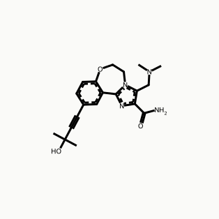 CN(C)Cc1c(C(N)=O)nc2n1CCOc1ccc(C#CC(C)(C)O)cc1-2